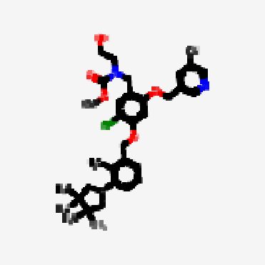 Cc1c(COc2cc(OCc3cncc(C#N)c3)c(CN(CCO)C(=O)OC(C)(C)C)cc2Cl)cccc1B1CC(C)(C)C(C)(C)C1